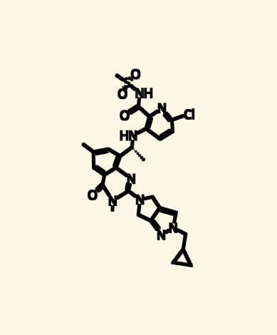 Cc1cc([C@@H](C)Nc2ccc(Cl)nc2C(=O)NS(C)(=O)=O)c2nc(N3Cc4cn(CC5CC5)nc4C3)n(C)c(=O)c2c1